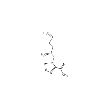 C=CCCC(=C)Cn1ccnc1C(C)=O